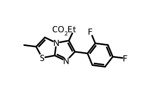 CCOC(=O)c1c(-c2ccc(F)cc2F)nc2sc(C)cn12